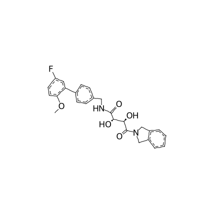 COc1ccc(F)cc1-c1ccc(CNC(=O)[C@H](O)[C@@H](O)C(=O)N2Cc3ccccc3C2)cc1